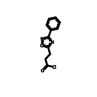 O=C(Cl)CCc1nc(-c2ccccc2)no1